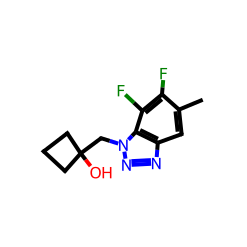 Cc1cc2nnn(CC3(O)CCC3)c2c(F)c1F